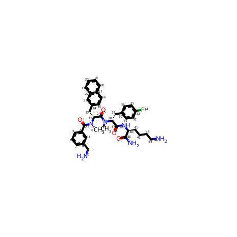 CN(C(=O)c1cccc(CN)c1)[C@H](Cc1ccc2ccccc2c1)C(=O)N(C)[C@H](Cc1ccc(F)cc1)C(=O)N[C@@H](CCCCN)C(N)=O